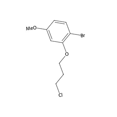 COc1ccc(Br)c(OCCCCl)c1